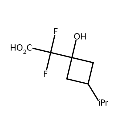 CC(C)C1CC(O)(C(F)(F)C(=O)O)C1